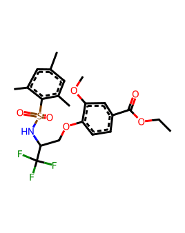 CCOC(=O)c1ccc(OCC(NS(=O)(=O)c2c(C)cc(C)cc2C)C(F)(F)F)c(OC)c1